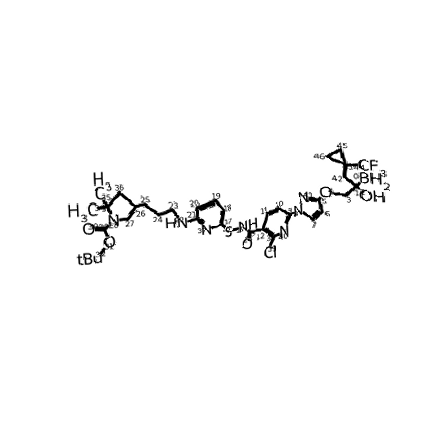 BC(O)(COc1ccn(-c2ccc(C(=O)NSc3cccc(NCCCC4CN(C(=O)OC(C)(C)C)C(C)(C)C4)n3)c(Cl)n2)n1)CC1(C(F)(F)F)CC1